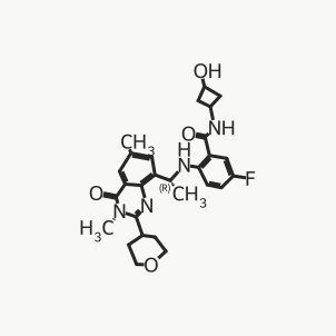 Cc1cc([C@@H](C)Nc2ccc(F)cc2C(=O)NC2CC(O)C2)c2nc(C3CCOCC3)n(C)c(=O)c2c1